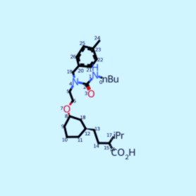 CCCCNC(=O)N(CCO[C@@H]1CCC[C@H](CCC(C(=O)O)C(C)C)C1)Cc1ccc(C)cc1